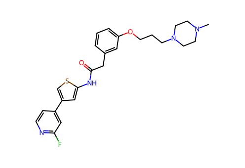 CN1CCN(CCCOc2cccc(CC(=O)Nc3cc(-c4ccnc(F)c4)cs3)c2)CC1